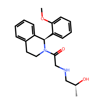 COc1ccccc1[C@@H]1c2ccccc2CCN1C(=O)CNC[C@@H](C)O